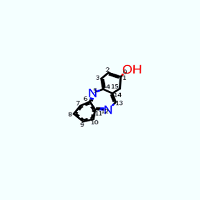 OC1=CC=C2N=c3ccccc3=NC=C2C1